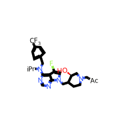 CC(=O)CN1CCC(Cn2cc(F)c3c(N(Cc4ccc(C(F)(F)F)cc4)C(C)C)ncnc32)[C@@H](O)C1